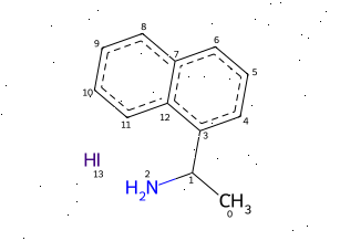 CC(N)c1cccc2ccccc12.I